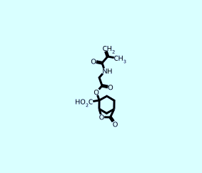 C=C(C)C(=O)NCC(=O)OC1(C(=O)O)CCC2CC1OC2=O